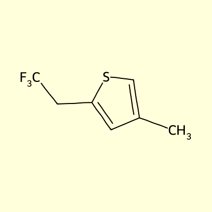 Cc1csc(CC(F)(F)F)c1